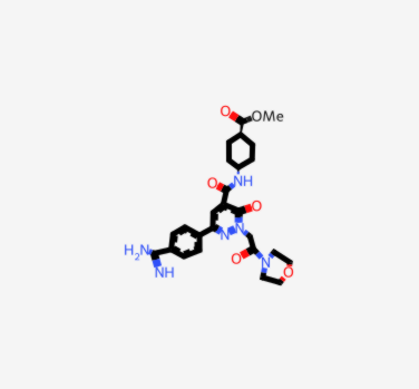 COC(=O)[C@H]1CC[C@H](NC(=O)c2cc(-c3ccc(C(=N)N)cc3)nn(CC(=O)N3CCOCC3)c2=O)CC1